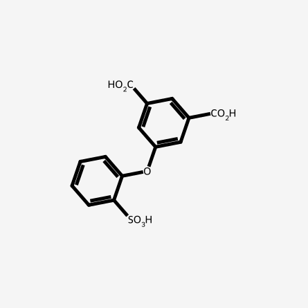 O=C(O)c1cc(Oc2ccccc2S(=O)(=O)O)cc(C(=O)O)c1